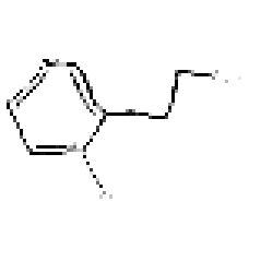 CC(=O)Nc1ccccc1CCN